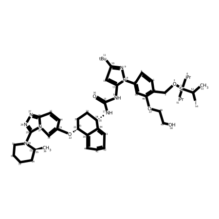 CC(C)[Si](OCc1ccc(-n2nc(C(C)(C)C)cc2NC(=O)N[C@H]2CC[C@@H](Oc3ccc4nnc(N5CCCC[C@@H]5C)n4c3)c3ccccc32)cc1OCCO)(C(C)C)C(C)I